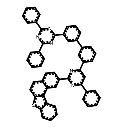 c1ccc(-c2cc(-c3cccc(-c4cccc(-c5nc(-c6ccccc6)nc(-c6ccccc6)n5)c4)c3)nc(-c3ccc4ccc5sc6ccccc6c5c4c3)n2)cc1